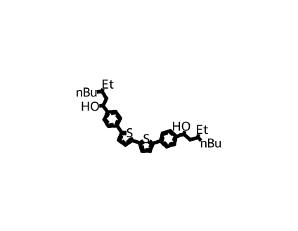 CCCCC(CC)CC(O)c1ccc(-c2ccc(-c3ccc(-c4ccc(C(O)CC(CC)CCCC)cc4)s3)s2)cc1